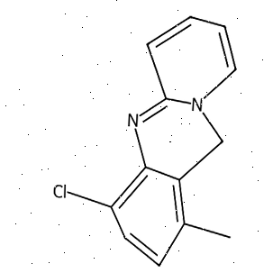 Cc1ccc(Cl)c2c1CN1C=CC=CC1=N2